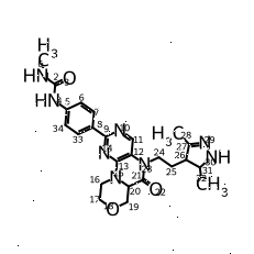 CNC(=O)Nc1ccc(-c2ncc3c(n2)N2CCOCC2C(=O)N3CCC2C(C)=NNC2C)cc1